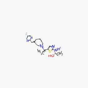 CC(O)Nc1ncc([C@@H](C)N2CCC[C@H](Cc3ncc(F)cn3)C2)s1